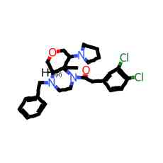 CC12C(N3CCCC3)COC[C@@H]1N(Cc1ccccc1)CCN2C(=O)Cc1ccc(Cl)c(Cl)c1